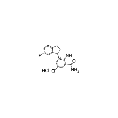 Cl.N=c1c(C(N)=O)cc(Cl)cn1C1CCc2ccc(F)cc21